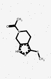 CSc1n[nH]c2c1CCN(C(C)=O)C2